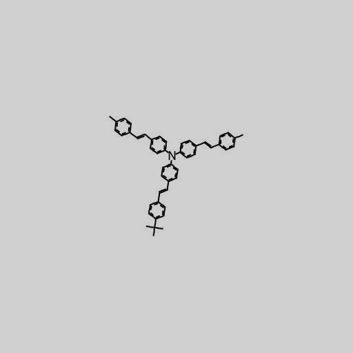 Cc1ccc(/C=C/c2ccc(N(c3ccc(/C=C/c4ccc(C)cc4)cc3)c3ccc(/C=C/c4ccc(C(C)(C)C)cc4)cc3)cc2)cc1